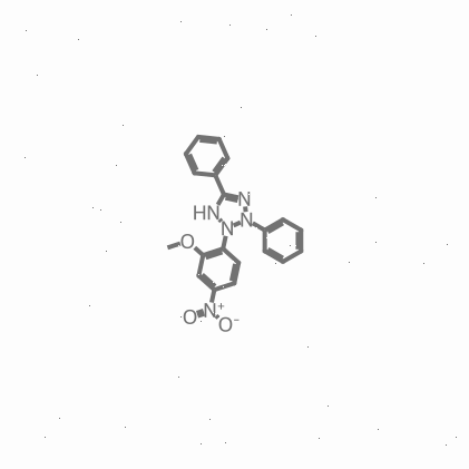 COc1cc([N+](=O)[O-])ccc1N1NC(c2ccccc2)=NN1c1ccccc1